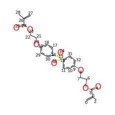 C=C(C)C(=O)OCCOc1ccc(S(=O)(=O)c2ccc(OCCOC(=O)C(=C)C)cc2)cc1